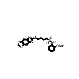 COc1ccccc1NS(=O)(=O)CCCCSc1nc2cc3c(cc2s1)OCO3